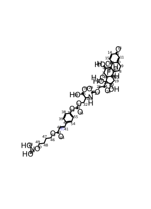 C[C@]12C[C@H](O)[C@@]3(F)[C@@H](CCC4=CC(=O)C=C[C@@]43C)[C@@H]1C[C@@H](O)C2(O)C(=O)COC(=O)NC(COC(=O)Oc1ccc(/C=C/C(=O)OCCCCON(O)O)cc1)C(=O)O